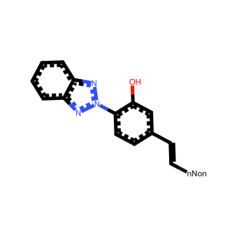 CCCCCCCCCC=Cc1ccc(-n2nc3ccccc3n2)c(O)c1